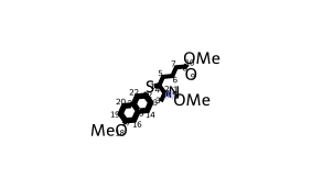 CO/N=C(\C)C(CCCC(=O)OC)Sc1ccc2cc(OC)ccc2c1